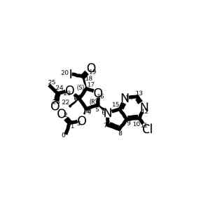 CC(=O)O[C@H]1[C@H](n2ccc3c(Cl)ncnc32)O[C@H](C(=O)I)[C@@]1(C)OC(C)=O